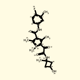 Cc1cc(NC(=O)c2c(C)c(C(=O)C(=O)NC3(C)CC(O)C3)n(C)c2C)ccc1F